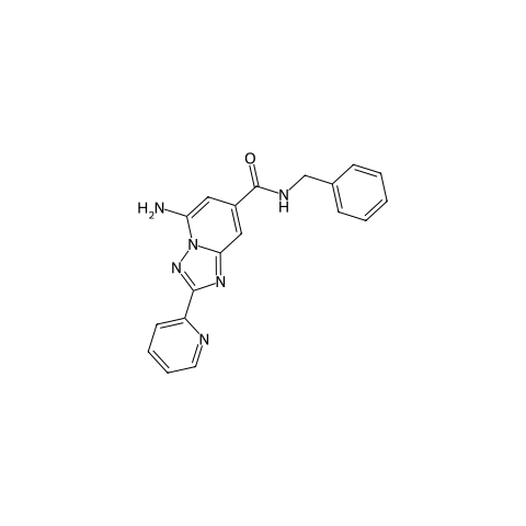 Nc1cc(C(=O)NCc2ccccc2)cc2nc(-c3ccccn3)nn12